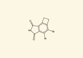 O=C1NC(=O)c2c3c(c(Br)c(Br)c21)CC3